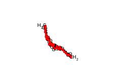 C=CC(=O)OCCCCCCOc1ccc(C(=O)Oc2ccc(C3(C)CCC(OC(=O)c4ccc(OCCCCCCOC(=O)C=C)cc4)CC3)cc2C=O)cc1